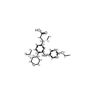 CCOc1ncc(Nc2cc([C@@H](CC)CC(=O)O)ccc2N2CCOC[C@@H]2C(C)C)cn1